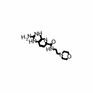 Cc1nc(C(=O)NCCN2CCOCC2)ccc1NC(=N)N